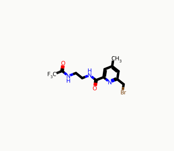 Cc1cc(CBr)nc(C(=O)NCCNC(=O)C(F)(F)F)c1